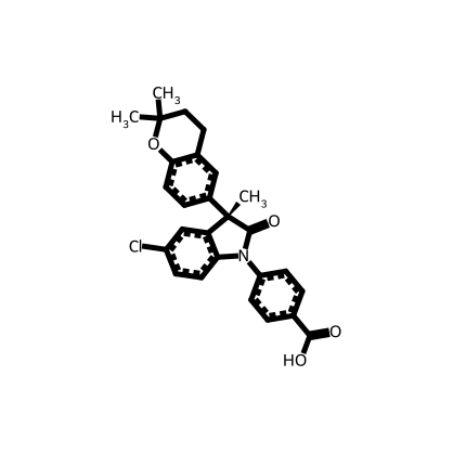 CC1(C)CCc2cc([C@]3(C)C(=O)N(c4ccc(C(=O)O)cc4)c4ccc(Cl)cc43)ccc2O1